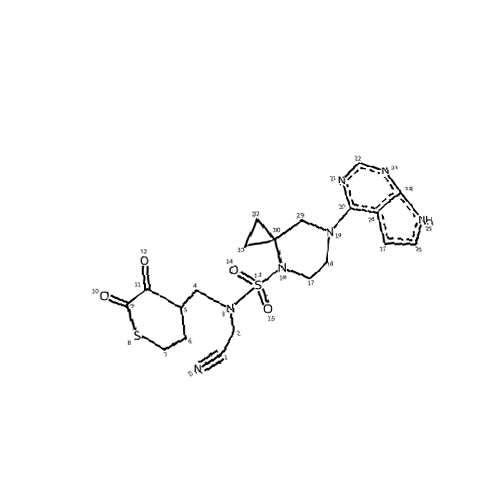 N#CCN(CC1CCSC(=O)C1=O)S(=O)(=O)N1CCN(c2ncnc3[nH]ccc23)CC12CC2